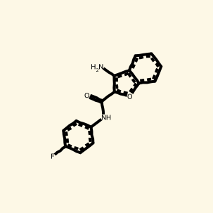 Nc1c(C(=O)Nc2ccc(F)cc2)oc2ccccc12